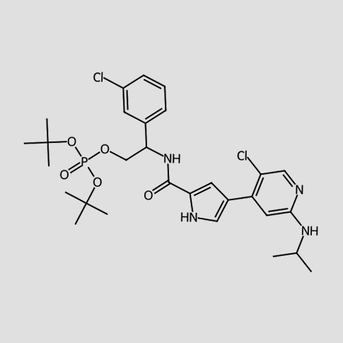 CC(C)Nc1cc(-c2c[nH]c(C(=O)NC(COP(=O)(OC(C)(C)C)OC(C)(C)C)c3cccc(Cl)c3)c2)c(Cl)cn1